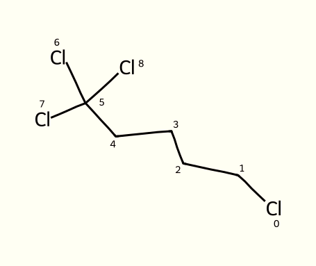 ClCCCCC(Cl)(Cl)Cl